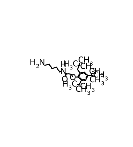 CC(C)(C)Cc1cc(C(C)(C)C)cc(C(C)(C)C)c1OCC(=O)NCCCCCN